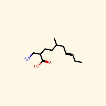 CCC=CCC(C)CCC(CN)C(=O)O